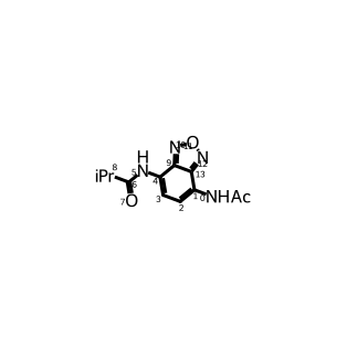 CC(=O)Nc1ccc(NC(=O)C(C)C)c2nonc12